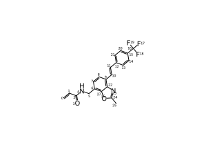 C=CC(=O)NCc1ccc(/C=C/c2ccc(C(F)(F)F)cc2)c2nc(C)oc12